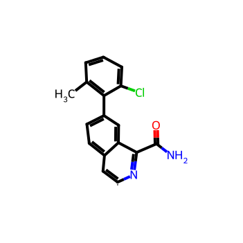 Cc1cccc(Cl)c1-c1ccc2c[c]nc(C(N)=O)c2c1